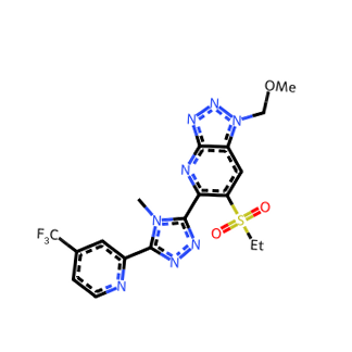 CCS(=O)(=O)c1cc2c(nnn2COC)nc1-c1nnc(-c2cc(C(F)(F)F)ccn2)n1C